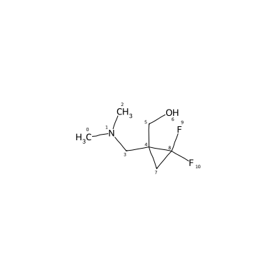 CN(C)CC1(CO)CC1(F)F